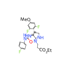 CCOC(=O)CC/N=C1\NC[C@@H](c2c(F)cc(OC)cc2F)[C@@H]1NC(=O)Nc1ccc(F)cc1